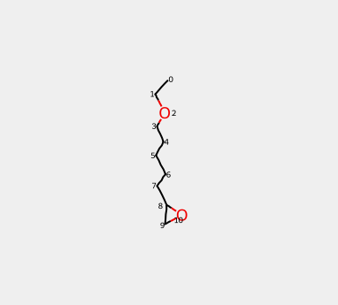 CCOCCCCCC1CO1